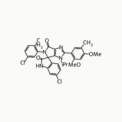 COc1cc(OC)c(-c2nc3c(n2C(C)C)C2(C(=O)Nc4cc(Cl)ccc42)N(c2cc(Cl)ccc2C)C3=O)cc1C